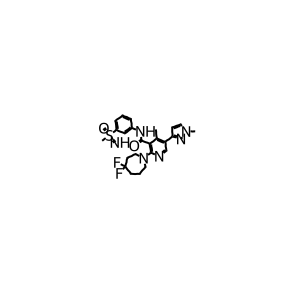 Cc1c(-c2ccn(C)n2)cnc(N2CCCC(F)(F)CC2)c1C(=O)Nc1cccc(S(C)(=N)=O)c1